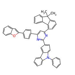 CC1(C)c2ccccc2-c2c(-c3cc(-c4ccc(-c5cc6ccccc6o5)cc4)nc(-c4ccc5c(c4)c4ccccc4n5-c4ccccc4)n3)cccc21